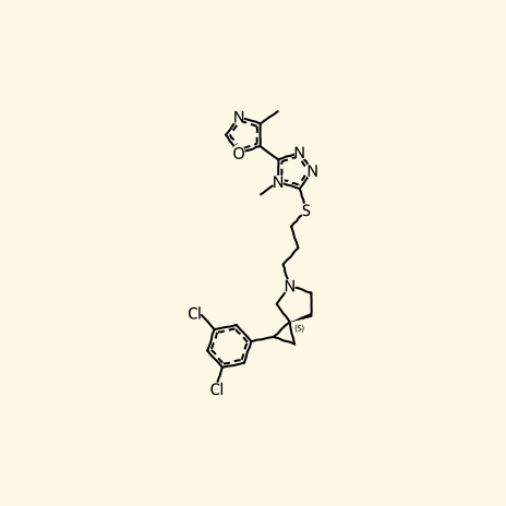 Cc1ncoc1-c1nnc(SCCCN2CC[C@]3(CC3c3cc(Cl)cc(Cl)c3)C2)n1C